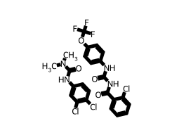 CN(C)C(=O)Nc1ccc(Cl)c(Cl)c1.O=C(NC(=O)c1ccccc1Cl)Nc1ccc(OC(F)(F)F)cc1